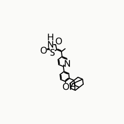 CC(=C1SC(=O)NC1=O)c1ccc(-c2ccc(O)c(C34CC5CC(CC(C5)C3)C4)c2)nc1